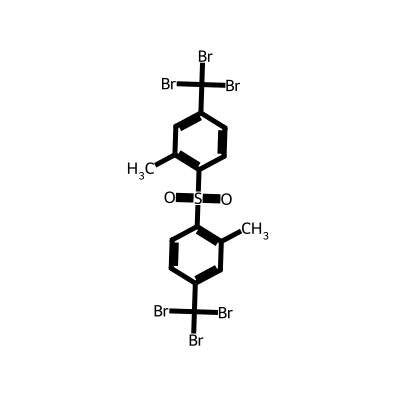 Cc1cc(C(Br)(Br)Br)ccc1S(=O)(=O)c1ccc(C(Br)(Br)Br)cc1C